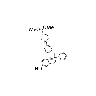 COC(OC)C1CCN(c2ccc([C@H]3c4ccc(O)cc4CC[C@]3(C)c3ccccc3)cc2)CC1